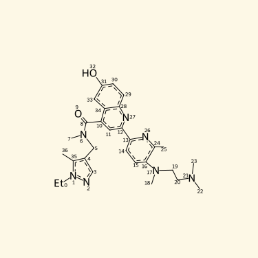 CCn1ncc(CN(C)C(=O)c2cc(-c3ccc(N(C)CCN(C)C)c(C)n3)nc3ccc(O)cc23)c1C